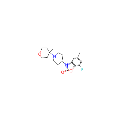 Cc1cc(F)c2oc(=O)n(C3CCN(C4(C)CCOCC4)CC3)c2c1